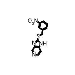 O=[N+]([O-])c1cccc(CSc2nc3cnccc3[nH]2)c1